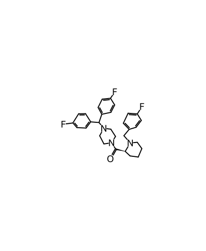 O=C([C@@H]1CCCCN1Cc1ccc(F)cc1)N1CCN(C(c2ccc(F)cc2)c2ccc(F)cc2)CC1